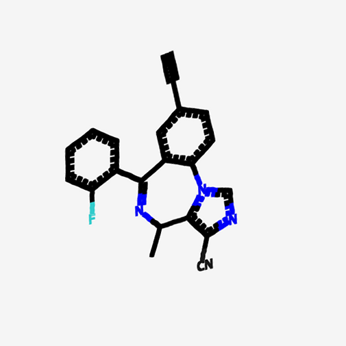 C#Cc1ccc2c(c1)C(c1ccccc1F)=NC(C)c1c(C#N)ncn1-2